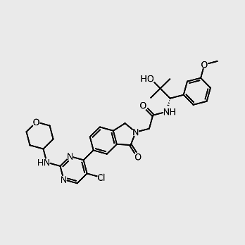 COc1cccc([C@H](NC(=O)CN2Cc3ccc(-c4nc(NC5CCOCC5)ncc4Cl)cc3C2=O)C(C)(C)O)c1